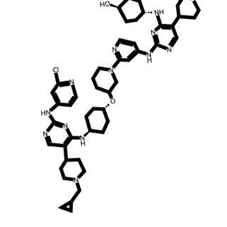 O[C@H]1CC[C@H](Nc2nc(Nc3ccnc(N4CCCC(O[C@H]5CC[C@H](Nc6nc(Nc7ccnc(Cl)c7)ncc6C6CCN(CC7CC7)CC6)CC5)C4)c3)ncc2C2CCNCC2)CC1